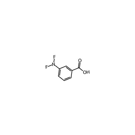 O=C(O)c1cccc(N(F)F)c1